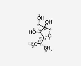 B[C@H](C)[C@H]1OC[C@@](O)(CO)C1O